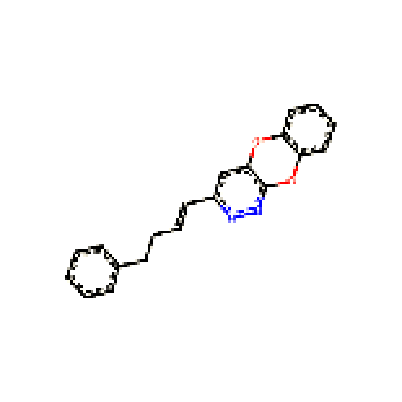 C(=C\c1cc2c(nn1)Oc1ccccc1O2)/CCc1ccccc1